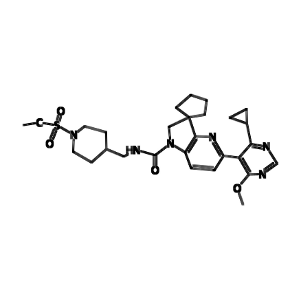 CCS(=O)(=O)N1CCC(CNC(=O)N2CC3(CCCC3)c3nc(-c4c(OC)ncnc4C4CC4)ccc32)CC1